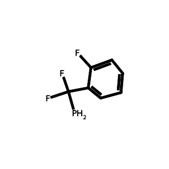 Fc1ccccc1C(F)(F)P